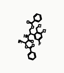 CC(C)C(OC(=O)c1ccccc1)C(=O)NC(COC(=O)c1ccccc1)c1cc(F)cc(Cl)c1CCl